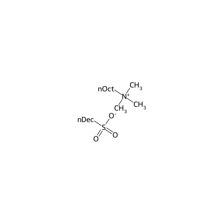 CCCCCCCCCCS(=O)(=O)[O-].CCCCCCCC[N+](C)(C)C